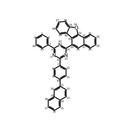 c1ccc(-c2nc(-c3ccc(-c4ccc5ccccc5c4)cc3)nc(-c3cc4ccccc4c4oc5ccccc5c34)n2)cc1